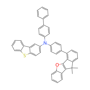 CC1(C)c2cccc(-c3ccc(N(c4ccc(-c5ccccc5)cc4)c4ccc5sc6ccccc6c5c4)cc3)c2-c2oc3ccccc3c21